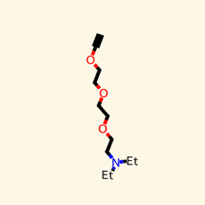 C#COCCOCCOCCN(CC)CC